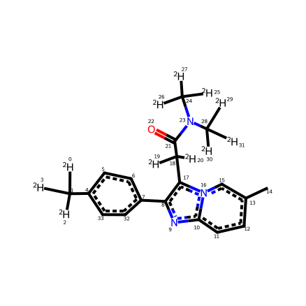 [2H]C([2H])([2H])c1ccc(-c2nc3ccc(C)cn3c2C([2H])([2H])C(=O)N(C([2H])([2H])[2H])C([2H])([2H])[2H])cc1